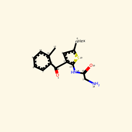 CCCCCCc1cc(C(=O)c2ccccc2C)c(NC(=O)CN)s1